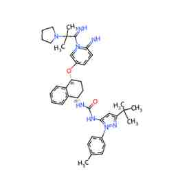 Cc1ccc(-n2nc(C(C)(C)C)cc2NC(=O)N[C@H]2CC[C@@H](Oc3ccc(=N)n(C(=N)C(C)(C)N4CCCC4)c3)c3ccccc32)cc1